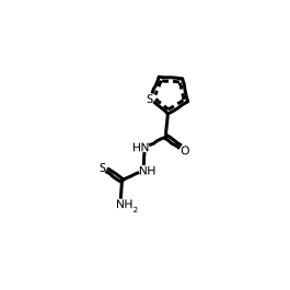 NC(=S)NNC(=O)c1cccs1